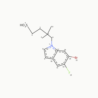 CC(C)(CCS(=O)(=O)O)Cn1ccc2cc(F)c(Br)cc21